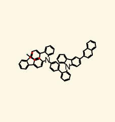 CC1(C)c2ccccc2-c2ccc(N(c3ccc(-c4ccccc4-n4c5ccccc5c5cc(-c6ccc7ccccc7c6)ccc54)cc3)c3ccccc3-c3ccccc3)cc21